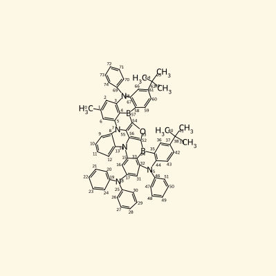 Cc1cc2c3c(c1)N1c4ccccc4N4c5cc(N(c6ccccc6)c6ccccc6)cc6c5B(c5cc(C(C)(C)C)ccc5N6c5ccccc5)c5oc(c1c54)B3c1ccc(C(C)(C)C)cc1N2c1ccccc1